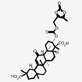 Cc1oc(=O)oc1COC(=O)O[C@H]1CC[C@@]2(C)[C@@H](CC[C@]3(C)[C@@H]2C(=O)C=C2[C@@H]4CC(C)(C(=O)O)CCC4(C)CCC23C)[C@]1(C)C(=O)O